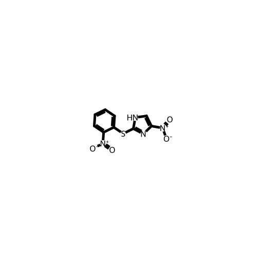 O=[N+]([O-])c1c[nH]c(Sc2ccccc2[N+](=O)[O-])n1